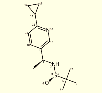 C[C@H](N[S@+]([O-])C(C)(C)C)c1ccc(C2CC2)nc1